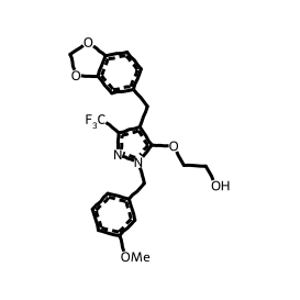 COc1cccc(Cn2nc(C(F)(F)F)c(Cc3ccc4c(c3)OCO4)c2OCCO)c1